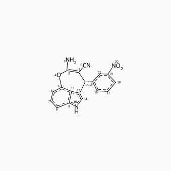 N#CC1=C(N)Oc2cccc3[nH]cc(c23)C1c1cccc([N+](=O)[O-])c1